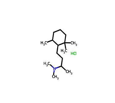 CC1CCCC(C)(C)C1CCC(C)N(C)C.Cl